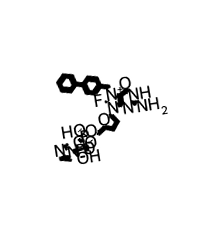 Nc1nc2c(c(=O)[nH]1)[n+](Cc1ccc(-c3ccccc3)cc1F)cn2C1CCC(COP(=O)(O)OP(=O)(O)n2ccnc2)O1